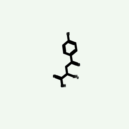 NC(CC(=O)c1ccc(Cl)cc1)C(=O)O